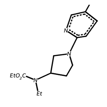 CCOC(=O)N(CC)C1CCN(c2ccc(C(C)C)cn2)C1